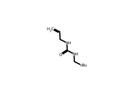 C=CCNC(=O)NCCCCC